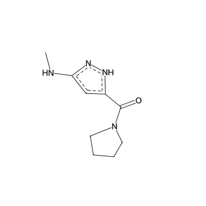 CNc1cc(C(=O)N2CCCC2)[nH]n1